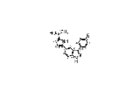 CC(O)c1nnc(-c2ccc3[nH]nc(-c4ccc(F)cc4)c3c2)[nH]1